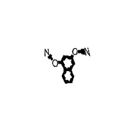 N#COc1cc(OC#N)c2ccccc2c1